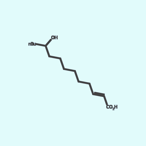 CCCCC(O)CCCCCCC=CC(=O)O